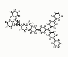 CC1(C)c2cc(NN=C(c3ccccc3)c3ccccc3)ccc2-c2ccc(-c3ccc(N(c4ccc(-c5ccccc5)cc4)c4ccc(-c5ccccc5)cc4)cc3)cc21